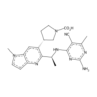 Cc1nc(N)nc(N[C@@H](C)c2nc3ccn(C)c3cc2[C@@H]2CCN(C(=O)O)C2)c1C#N